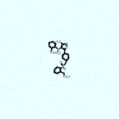 CCOC(=O)N(c1ccccc1Cl)c1c(C)noc1-c1ccc(CS(=O)(=O)c2ccccc2CC(=O)O)cc1